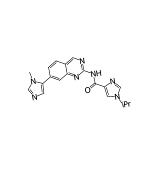 CC(C)n1cnc(C(=O)Nc2ncc3ccc(-c4cncn4C)cc3n2)c1